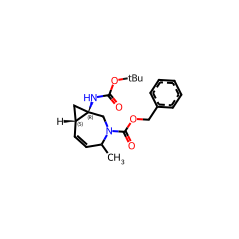 CC1C=C[C@@H]2C[C@]2(NC(=O)OC(C)(C)C)CN1C(=O)OCc1ccccc1